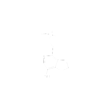 CC(C)(C)[Si](C)(C)OCc1ccc(N)c2c1OCO2